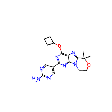 CC1(C)OCCn2c1nc1c(OC3CCC3)nc(-c3cnc(N)nc3)nc12